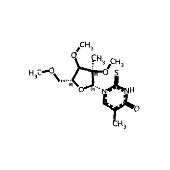 COC[C@H]1O[C@@H](n2cc(C)c(=O)[nH]c2=S)[C@](C)(OC)C1OC